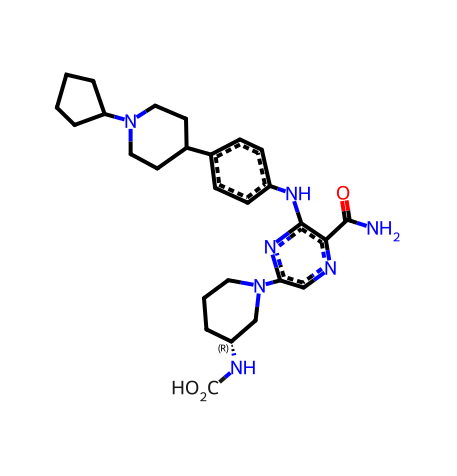 NC(=O)c1ncc(N2CCC[C@@H](NC(=O)O)C2)nc1Nc1ccc(C2CCN(C3CCCC3)CC2)cc1